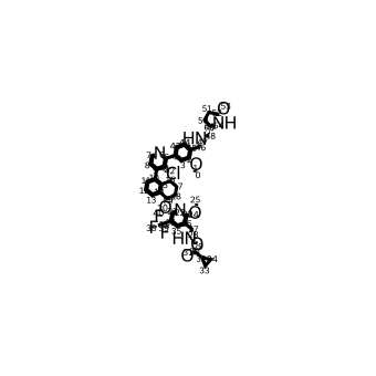 COc1cc(-c2nccc(-c3cccc4c3CCC[C@@H]4Oc3nc(OC)c(CNOC(=O)C4CC4)cc3C(F)(F)F)c2Cl)ccc1CNC[C@@H]1CCC(=O)N1